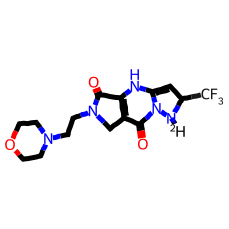 [2H]N1C(C(F)(F)F)C=C2NC3=C(CN(CCN4CCOCC4)C3=O)C(=O)N21